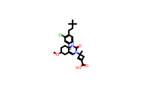 COC1CC[C@]2(c3ccc(CCC(C)(C)C)c(Cl)c3)NC(=O)N(C3(C)C=C(C(=O)O)C3)C=C2C1